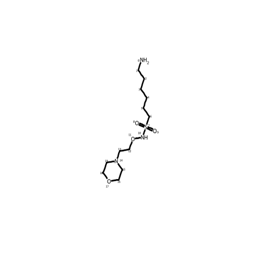 NCCCCCCS(=O)(=O)NOCCN1CCOCC1